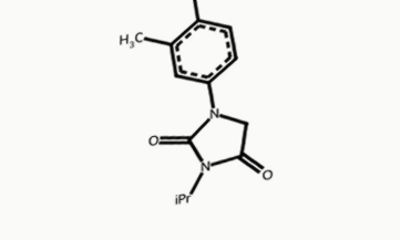 Cc1ccc(N2CC(=O)N(C(C)C)C2=O)cc1C